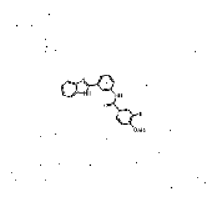 COc1ccc(C(=O)Nc2cccc(-c3nc4ccccc4[nH]3)c2)cc1Br